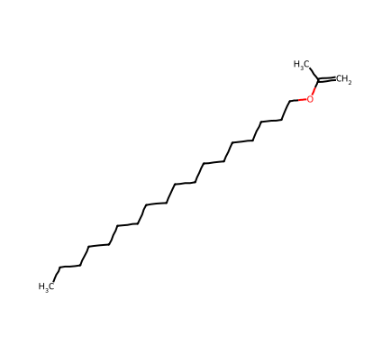 C=C(C)OCCCCCCCCCCCCCCCCCC